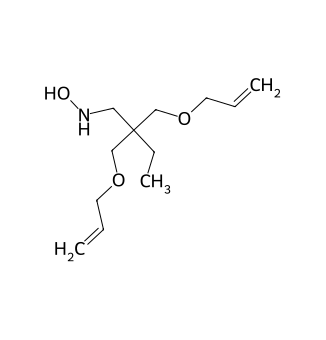 C=CCOCC(CC)(CNO)COCC=C